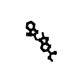 COC(=O)c1ccc2c(n1)nc(C)n2Cc1nc2ccccc2[nH]1